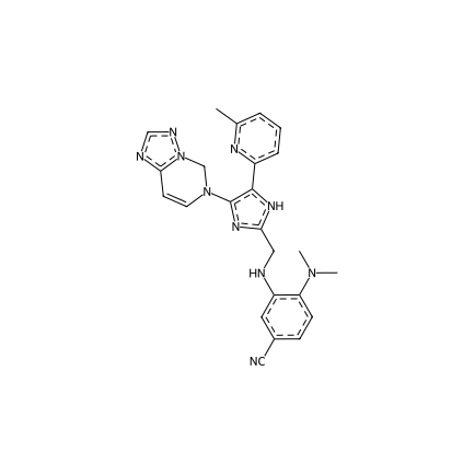 Cc1cccc(-c2[nH]c(CNc3cc(C#N)ccc3N(C)C)nc2N2C=Cc3ncnn3C2)n1